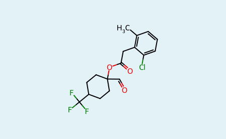 Cc1cccc(Cl)c1CC(=O)OC1(C=O)CCC(C(F)(F)F)CC1